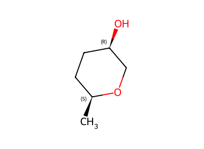 C[C@H]1CC[C@@H](O)CO1